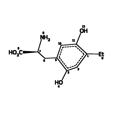 CCc1cc(O)c(C[C@H](N)C(=O)O)cc1O